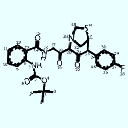 CC(C)(C)OC(=O)Nc1ccccc1C(=O)NCC(=O)C1C(=O)C(c2ccc(F)cc2)C2CN1CS2